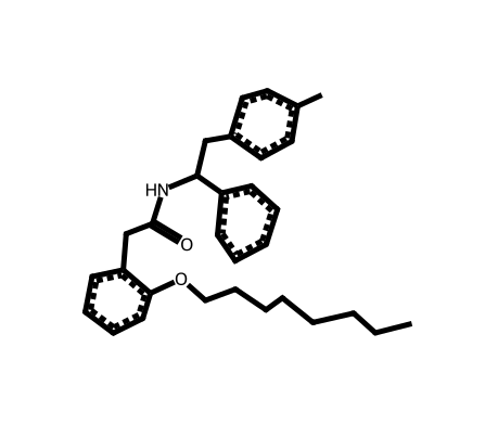 CCCCCCCCOc1ccccc1CC(=O)NC(Cc1ccc(C)cc1)c1ccccc1